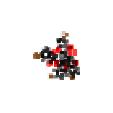 O=C1c2cc(Br)ccc2OCC1(O)CCC1(CC2(CCc3coc4ccc(Br)cc4c3=O)COc3ccc(Br)cc3C2=O)COc2ccc(Br)cc2C1=O